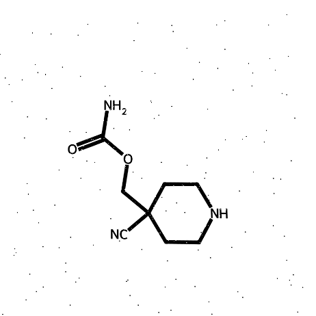 N#CC1(COC(N)=O)CCNCC1